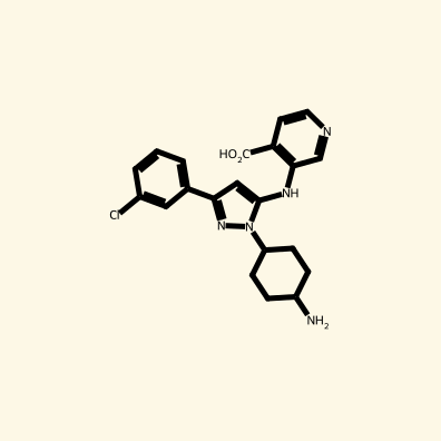 NC1CCC(n2nc(-c3cccc(Cl)c3)cc2Nc2cnccc2C(=O)O)CC1